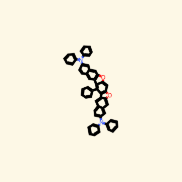 c1ccc(-c2c3c(cc4oc5cc6cc(N(c7ccccc7)c7ccccc7)ccc6cc5c24)oc2cc4cc(N(c5ccccc5)c5ccccc5)ccc4cc23)cc1